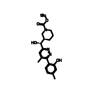 Cc1ccc(-c2nnc([C@H](O)[C@@H]3CCCN(C(=O)OC(C)(C)C)C3)cc2C)c(O)c1